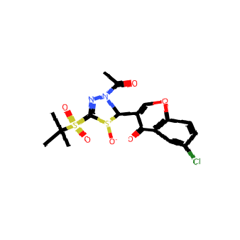 CC(=O)N1N=C(S(=O)(=O)C(C)(C)C)[S+]([O-])C1c1coc2ccc(Cl)cc2c1=O